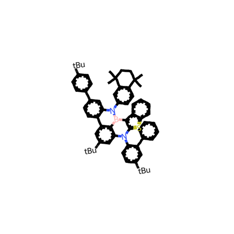 CC(C)(C)c1ccc(-c2ccc3c(c2)N(c2ccc4c(c2)C(C)(C)CCC4(C)C)B2c4c-3cc(C(C)(C)C)cc4N(c3ccc(C(C)(C)C)cc3-c3ccccc3)c3sc4ccccc4c32)cc1